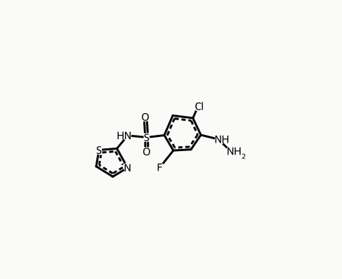 NNc1cc(F)c(S(=O)(=O)Nc2nccs2)cc1Cl